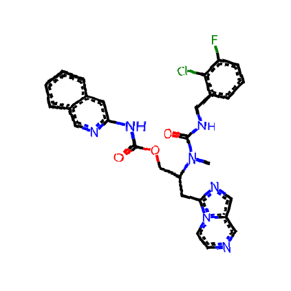 CN(C(=O)NCc1cccc(F)c1Cl)C(COC(=O)Nc1cc2ccccc2cn1)Cc1ncc2cnccn12